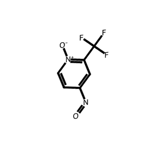 O=Nc1cc[n+]([O-])c(C(F)(F)F)c1